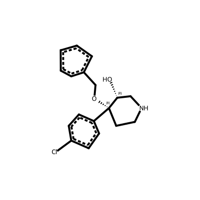 O[C@@H]1CNCC[C@@]1(OCc1ccccc1)c1ccc(Cl)cc1